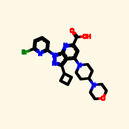 O=C(O)c1cc(N2CCC(N3CCOCC3)CC2)c2c(C3CCC3)nn(-c3cccc(Br)n3)c2n1